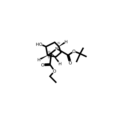 CCOC(=O)[C@@H]1[C@@H]2CC[C@@H](CC2O)N1C(=O)OC(C)(C)C